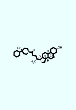 C[C@H](CCC(=O)N1CCC(O)(C2CCCCC2)CC1)[C@H]1CC[C@H]2[C@@H]3CC=C4C[C@@H](O)CC[C@]4(C)[C@H]3CC[C@]12C